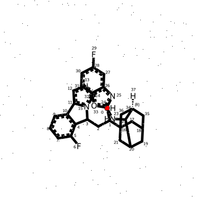 OC(CC1c2c(F)cccc2-c2cncn21)C12CC3CC(C1)C(Nc1nc4cc(F)ccc4o1)[C@H](C3)C2